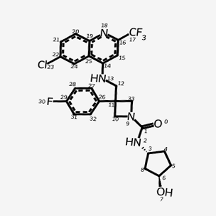 O=C(N[C@@H]1CC[C@@H](O)C1)N1CC(CNc2cc(C(F)(F)F)nc3ccc(Cl)cc23)(c2ccc(F)cc2)C1